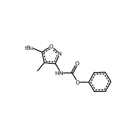 Cc1c(NC(=O)Oc2ccccc2)noc1C(C)(C)C